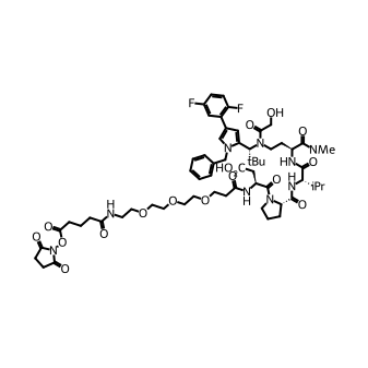 CNC(=O)[C@H](CCN(C(=O)CO)[C@@H](c1cc(-c2cc(F)ccc2F)cn1Cc1ccccc1)C(C)(C)C)NC(=O)[C@@H](NC(=O)[C@@H]1CCCN1C(=O)[C@H](CC(=O)O)NC(=O)CCOCCOCCOCCNC(=O)CCCC(=O)ON1C(=O)CCC1=O)C(C)C